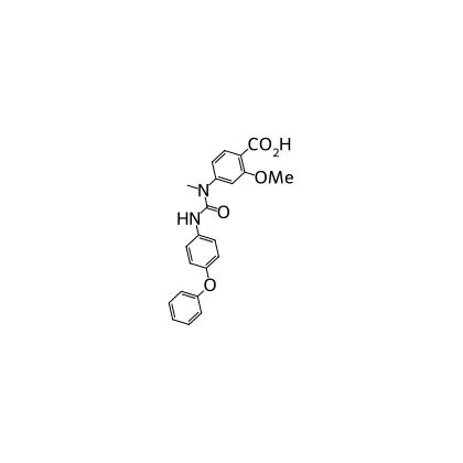 COc1cc(N(C)C(=O)Nc2ccc(Oc3ccccc3)cc2)ccc1C(=O)O